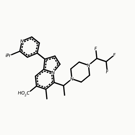 Cc1c(C(=O)O)cc2c(-c3ccnc(C(C)C)c3)ccn2c1C(C)N1CCN(C(F)C(F)F)CC1